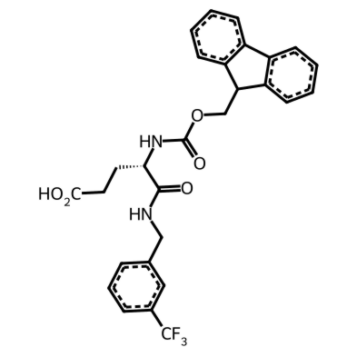 O=C(O)CC[C@H](NC(=O)OCC1c2ccccc2-c2ccccc21)C(=O)NCc1cccc(C(F)(F)F)c1